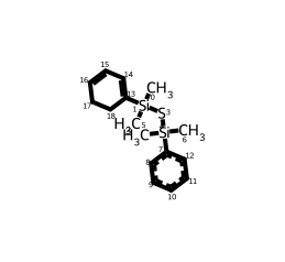 C[Si](C)(S[Si](C)(C)c1ccccc1)C1=CC=CCC1